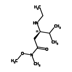 CCN[C@H](CC(=O)N(C)OC)C(C)C